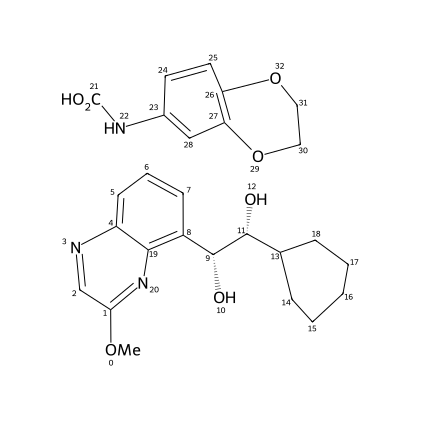 COc1cnc2cccc([C@@H](O)[C@H](O)C3CCCCC3)c2n1.O=C(O)Nc1ccc2c(c1)OCCO2